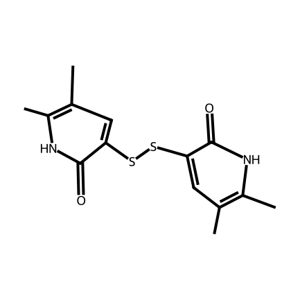 Cc1cc(SSc2cc(C)c(C)[nH]c2=O)c(=O)[nH]c1C